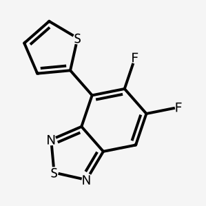 Fc1cc2nsnc2c(-c2cccs2)c1F